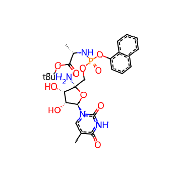 Cc1cn([C@@H]2O[C@](N)(COP(=O)(N[C@@H](C)C(=O)OC(C)(C)C)Oc3cccc4ccccc34)[C@@H](O)[C@H]2O)c(=O)[nH]c1=O